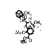 COc1c(CC(N[Si](C)(C)C)B2OC3CC4CC(C4(C)C)C3(C)O2)cccc1C(=O)OC(C)(C)C